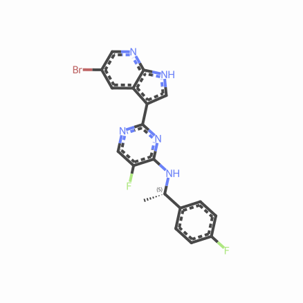 C[C@H](Nc1nc(-c2c[nH]c3ncc(Br)cc23)ncc1F)c1ccc(F)cc1